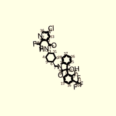 O=C(N[C@H]1CC[C@H](CN2C(=O)C(O)(c3cccc(C(F)(F)F)c3F)c3ccccc32)CC1)c1cc(Cl)cnc1C(F)F